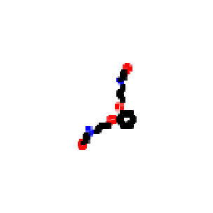 O=C=NCCCOc1ccccc1OCCCN=C=O